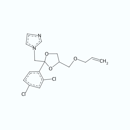 C=CCOCC1COC(Cn2ccnc2)(c2ccc(Cl)cc2Cl)O1